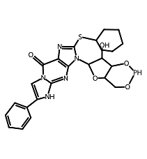 O=c1c2nc(SC3CCCCC3)n(C3OC4COPOC4C3O)c2nc2[nH]c(-c3ccccc3)cn12